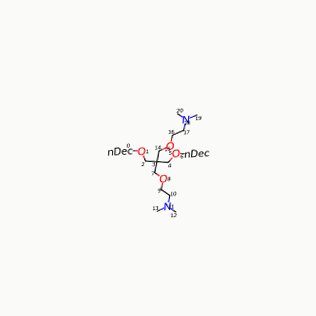 CCCCCCCCCCOCC(COCCCCCCCCCC)(COCCN(C)C)COCCN(C)C